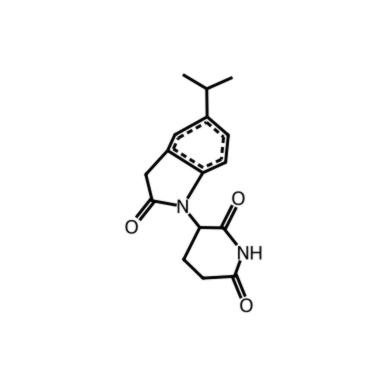 CC(C)c1ccc2c(c1)CC(=O)N2C1CCC(=O)NC1=O